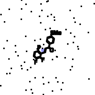 CSc1ccc(C(=O)/C=C/c2c(F)ccc(F)c2F)cc1